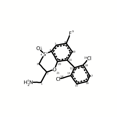 NCC1C[S+]([O-])c2cc(F)cc(-c3c(Cl)cccc3Cl)c2O1